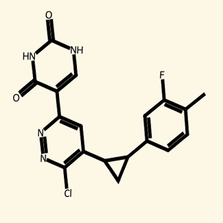 Cc1ccc(C2CC2c2cc(-c3c[nH]c(=O)[nH]c3=O)nnc2Cl)cc1F